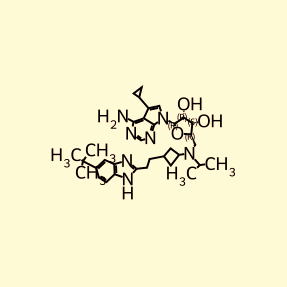 CC(C)N(C[C@H]1O[C@@H](n2cc(C3CC3)c3c(N)ncnc32)[C@H](O)[C@@H]1O)C1CC(CCc2nc3cc(C(C)(C)C)ccc3[nH]2)C1